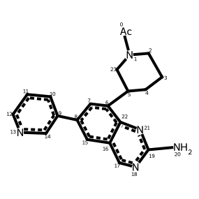 CC(=O)N1CCCC(c2cc(-c3cccnc3)cc3cnc(N)nc23)C1